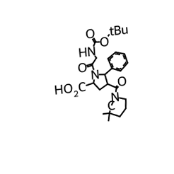 CC1(C)CCCN(C(=O)C2CC(C(=O)O)N(C(=O)CNC(=O)OC(C)(C)C)C2c2ccccc2)C1